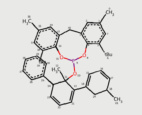 Cc1cc2c(c(C(C)(C)C)c1)OP(OC1(C)C(C3=CC=CC(C)C3)=CC=CC1c1ccccc1)Oc1c(cc(C)cc1C(C)(C)C)C2